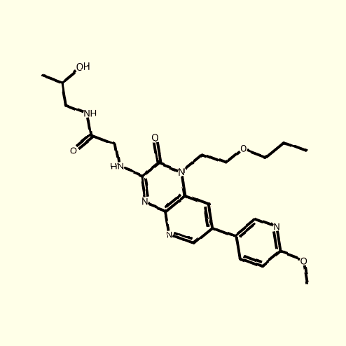 CCCOCCn1c(=O)c(NCC(=O)NCC(C)O)nc2ncc(-c3ccc(OC)nc3)cc21